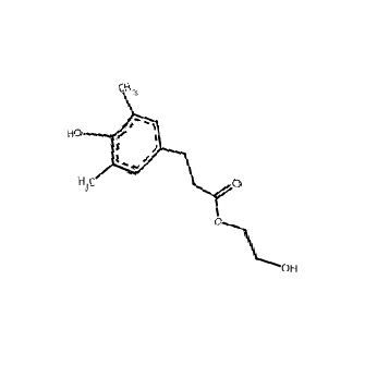 Cc1cc(CCC(=O)OCCO)cc(C)c1O